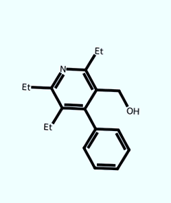 CCc1nc(CC)c(CO)c(-c2ccccc2)c1CC